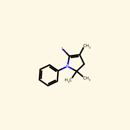 CC1=C(I)N(c2ccccc2)C(C)(C)C1